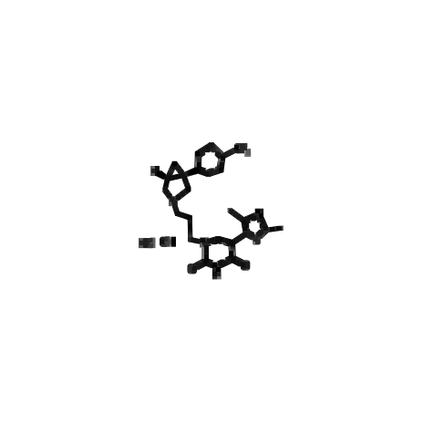 Cc1nc(C)c(-c2cn(CCCN3C[C@@H]4C[C@]4(c4ccc(C(F)(F)F)cc4)C3)c(=O)[nH]c2=O)s1.Cl.Cl